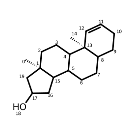 C[C@]12CCC3C(CCC4CCC=C[C@@]43C)C1CC(O)C2